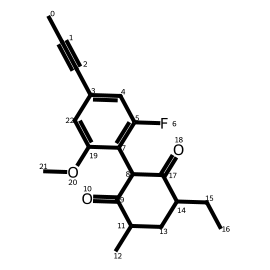 CC#Cc1cc(F)c(C2C(=O)C(C)CC(CC)C2=O)c(OC)c1